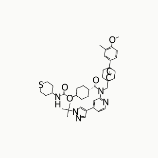 COc1ccc(C23CCC(CN(c4cc(-c5cnn(C(C)(C)C)c5)ccn4)C(=O)[C@H]4CC[C@H](OC(=O)NC5CCSCC5)CC4)(CC2)CC3)cc1C